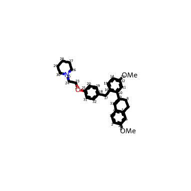 COc1ccc2c(c1)CCC(c1cc(OC)ccc1Cc1ccc(OCCN3CCCCC3)cc1)=C2